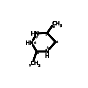 CC1CNC(C)NN1